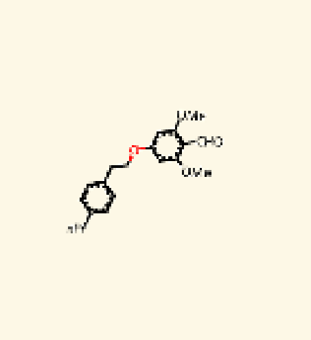 CCCc1ccc(CCOc2cc(OC)c(C=O)c(OC)c2)cc1